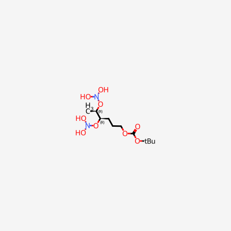 C[C@@H](ON(O)O)[C@@H](CCCOC(=O)OC(C)(C)C)ON(O)O